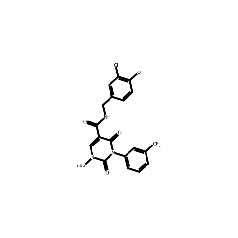 CCCCn1cc(C(=O)NCc2ccc(Cl)c(Cl)c2)c(=O)n(-c2cccc(C(F)(F)F)c2)c1=O